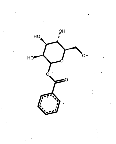 O=C(OC1O[C@H](CO)[C@@H](O)[C@H](O)[C@@H]1O)c1ccccc1